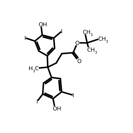 CC(C)(C)OC(=O)CCC(C)(c1cc(I)c(O)c(I)c1)c1cc(I)c(O)c(I)c1